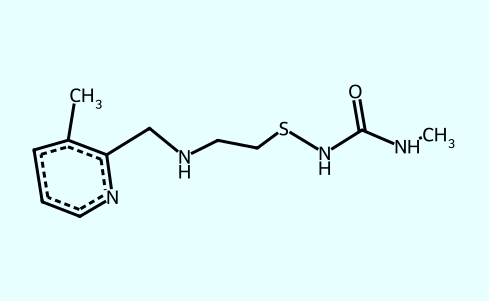 CNC(=O)NSCCNCc1ncccc1C